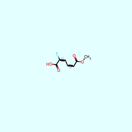 COC(=O)/C=C\C=C(\F)C(=O)O